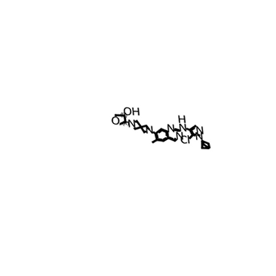 Cc1cc2cnc(Nc3cnn(C45CC(C4)C5)c3Cl)nc2cc1N1CC2(C1)CN([C@@H]1COC[C@@H]1O)C2